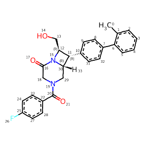 Cc1ccccc1-c1ccc([C@H]2[C@H](CO)N3C(=O)CN(C(=O)c4ccc(F)cc4)C[C@@H]23)cc1